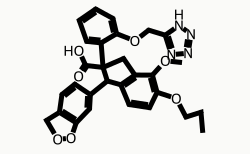 CCCOc1ccc2c(c1OC)CC(C(=O)O)(c1ccccc1OCc1nnn[nH]1)C2c1ccc2c(c1)OOC2